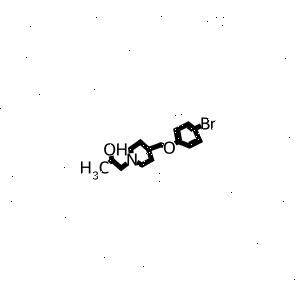 CC(O)CN1CCC(COc2ccc(Br)cc2)CC1